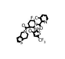 CCC[C@H]1N(C(=O)c2ncccc2C(F)(F)F)CCC[C@]1(Oc1csc(C(F)(F)F)c1)C(=O)N1CCc2sccc2C1